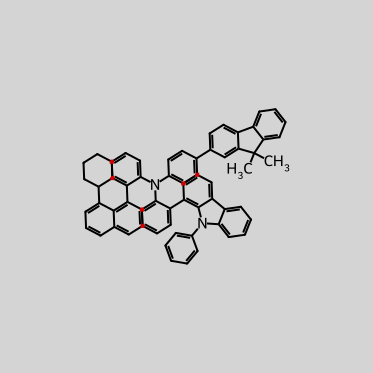 CC1(C)c2ccccc2-c2ccc(-c3ccc(N(c4ccccc4-c4cccc5cccc(C6CCCCC6)c45)c4ccccc4-c4cccc5c6ccccc6n(-c6ccccc6)c45)cc3)cc21